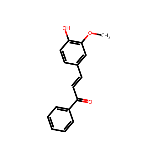 COc1cc(C=CC(=O)c2ccccc2)ccc1O